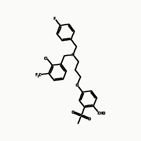 CS(=O)(=O)c1cc(OCCCN(Cc2ccc(F)cc2)Cc2cccc(C(F)(F)F)c2Cl)ccc1C=O